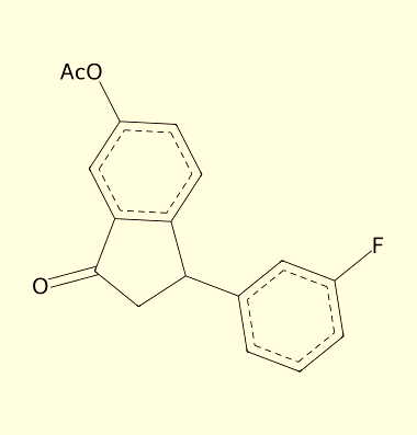 CC(=O)Oc1ccc2c(c1)C(=O)CC2c1cccc(F)c1